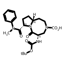 CN(C(=O)[C@@H]1CC[C@@H]2CCN(C(=O)O)C[C@H](NC(=O)OC(C)(C)C)C(=O)N21)c1ccccc1